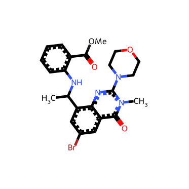 COC(=O)c1ccccc1NC(C)c1cc(Br)cc2c(=O)n(C)c(N3CCOCC3)nc12